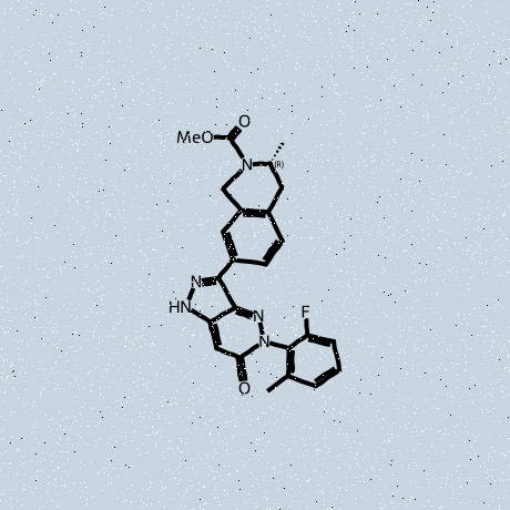 COC(=O)N1Cc2cc(-c3n[nH]c4cc(=O)n(-c5c(C)cccc5F)nc34)ccc2C[C@H]1C